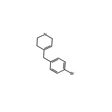 Brc1ccc(CC2=CC[N]CC2)cc1